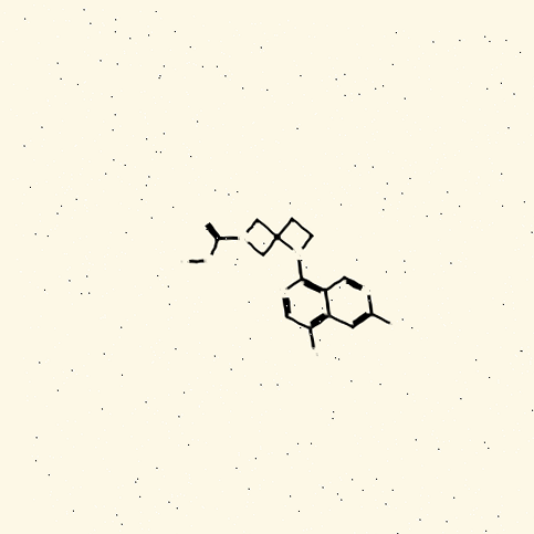 CC(C)(C)OC(=O)N1CC2(CCN2c2ncc(Br)c3cc(Cl)ncc23)C1